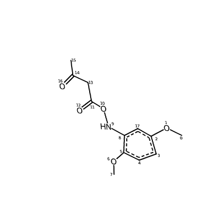 COc1ccc(OC)c(NOC(=O)CC(C)=O)c1